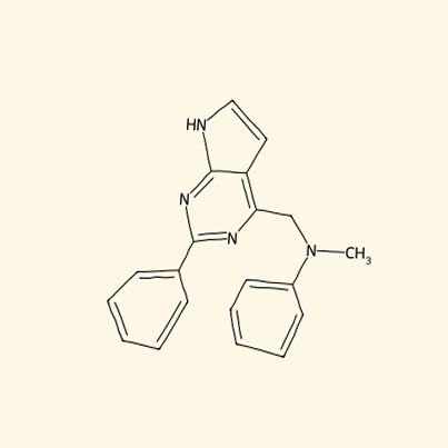 CN(Cc1nc(-c2ccccc2)nc2[nH]ccc12)c1ccccc1